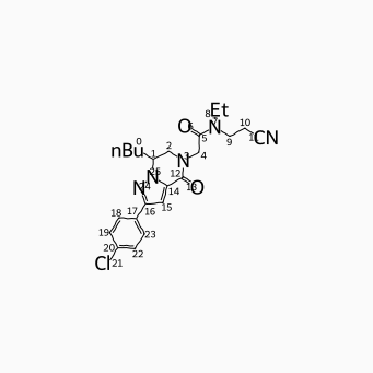 CCCCC1CN(CC(=O)N(CC)CCC#N)C(=O)c2cc(-c3ccc(Cl)cc3)nn21